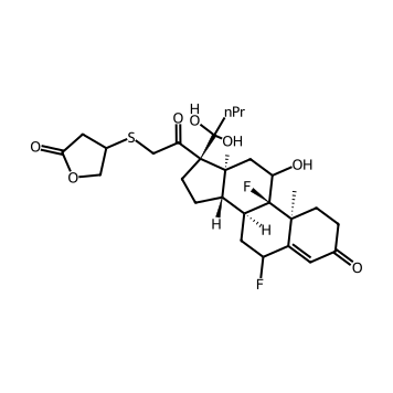 CCCC(O)(O)[C@]1(C(=O)CSC2COC(=O)C2)CC[C@H]2[C@@H]3CC(F)C4=CC(=O)CC[C@]4(C)[C@@]3(F)C(O)C[C@@]21C